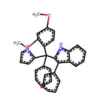 COc1ccc(C(c2ccccc2)(c2ccc[nH]2)c2[nH]c3ccccc3c2-c2ccccc2)c(OC)c1